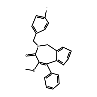 CSC1=C(c2ccccc2)c2ccccc2CN(Cc2ccc(F)cc2)C1=O